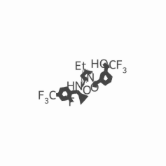 CC[C@@H]1C[C@H](C(=O)NC(c2ccc(C(F)(F)F)cc2F)C2CC2)N(C(=O)c2cccc(C(O)C(F)(F)F)c2)C1